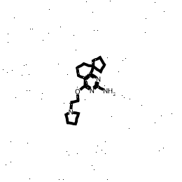 Nc1nc(OCCN2CCCC2)c2c(n1)C1(CCCC1)CCC2